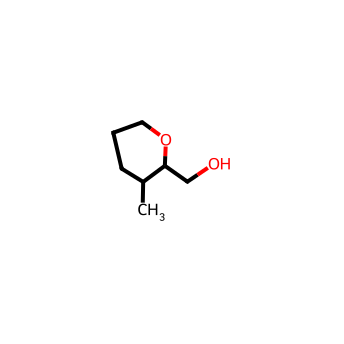 CC1CCCOC1CO